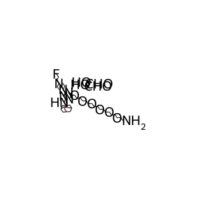 NCCOCCOCCOCCOCCOCCOc1nc(NC23CC4CC(CC(C4)C2)C3)nc(N2CCN(CCF)CC2)n1.O=CO.O=CO